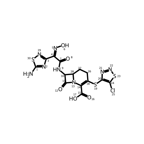 Nc1nc(/C(=N/O)C(=O)NC2C(=O)N3C(C(=O)O)=C(Sc4nnsc4Cl)CCC23)ns1